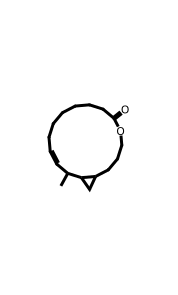 CC1C=CCCCCCCC(=O)OCCCC2CC12